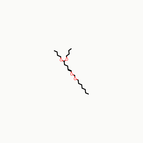 CCCCCCCOCOC=CCCC(OCCCC)OCCCC